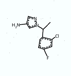 CC(c1ccc(F)cc1Cl)n1cc(N)cn1